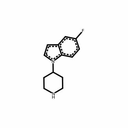 Fc1ccc2c(ccn2C2CCNCC2)c1